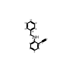 C#Cc1ccccc1NCc1ccccc1